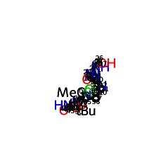 COc1nc(-c2cccc(-c3ccnc(-c4cc5c(=O)n(C)c(CNC[C@H](C)O)nn5c4)c3Cl)c2Cl)ccc1CN(C[C@@H]1CCC(=O)N1)C(=O)OC(C)(C)C